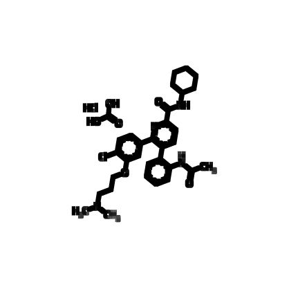 CC(=O)Nc1ccccc1-c1ccc(C(=O)NC2CCCCC2)nc1-c1ccc(Cl)c(OCCCN(C)C)c1.Cl.O=C(O)O